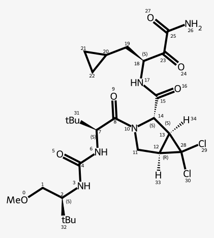 COC[C@@H](NC(=O)N[C@H](C(=O)N1C[C@H]2[C@@H]([C@H]1C(=O)N[C@@H](CC1CC1)C(=O)C(N)=O)C2(Cl)Cl)C(C)(C)C)C(C)(C)C